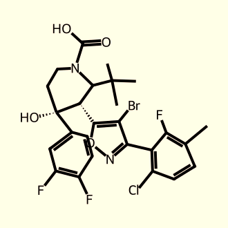 Cc1ccc(Cl)c(-c2noc([C@H]3C(C(C)(C)C)N(C(=O)O)CC[C@]3(O)c3ccc(F)c(F)c3)c2Br)c1F